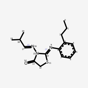 CCCc1ccccc1/N=C1\SCC(=O)N1/N=C/C(C)C